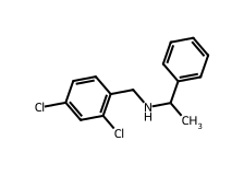 CC(NCc1ccc(Cl)cc1Cl)c1ccccc1